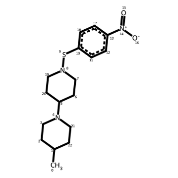 CC1CCN(C2CCN(Sc3ccc([N+](=O)[O-])cc3)CC2)CC1